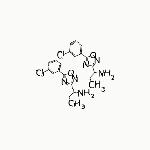 CCC(N)c1noc(-c2cccc(Cl)c2)n1.CCC(N)c1noc(-c2cccc(Cl)c2)n1